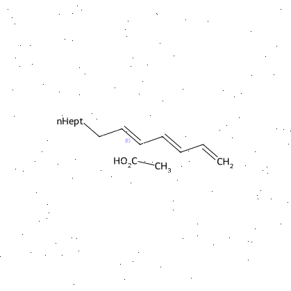 C=CC=C/C=C/CCCCCCCC.CC(=O)O